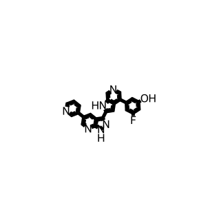 Oc1cc(F)cc(-c2cncc3[nH]c(-c4n[nH]c5ncc(-c6cccnc6)cc45)cc23)c1